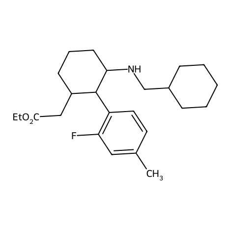 CCOC(=O)CC1CCCC(NCC2CCCCC2)C1c1ccc(C)cc1F